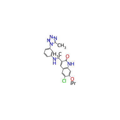 Cc1nnnn1-c1cccc(N[C@@H](C)c2cc3cc(Cl)c(OC(C)C)cc3[nH]c2=O)c1